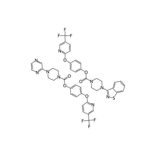 O=C(Oc1ccc(Oc2ccc(C(F)(F)F)cn2)cc1)N1CCN(c2cnccn2)CC1.O=C(Oc1ccc(Oc2ccc(C(F)(F)F)cn2)cc1)N1CCN(c2nsc3ccccc23)CC1